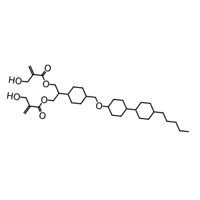 C=C(CO)C(=O)OCC(COC(=O)C(=C)CO)C1CCC(COC2CCC(C3CCC(CCCCC)CC3)CC2)CC1